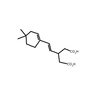 CC1(C)CC=C(/C=C/C(CC(=O)O)CC(=O)O)CC1